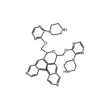 c1cc2ccc(C(COc3nccnc3N3CCNCC3)OC(COc3nccnc3N3CCNCC3)c3ccc4ccncc4c3)cc2cn1